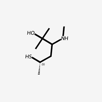 CNC(C[C@H](C)S)C(C)(C)O